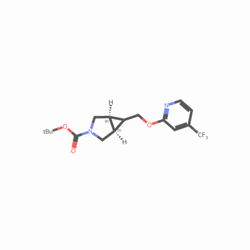 CC(C)(C)OC(=O)N1C[C@@H]2C(COc3cc(C(F)(F)F)ccn3)[C@@H]2C1